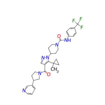 CC1(c2c(C(=O)N3CCC(c4cccnc4)C3)cnn2C2CCN(C(=O)Nc3ccc(C(F)(F)F)cc3)CC2)CC1